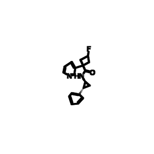 O=C(N[C@H]1C[C@@H]1c1ccccc1)C1(c2cccnc2)CC(F)C1